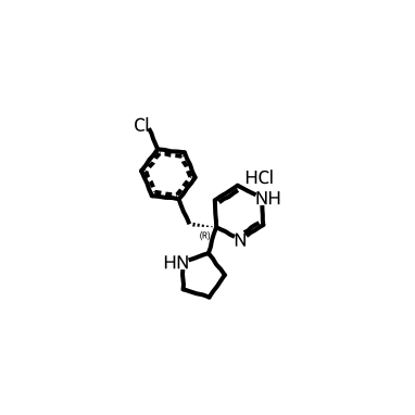 Cl.Clc1ccc(C[C@]2(C3CCCN3)C=CNC=N2)cc1